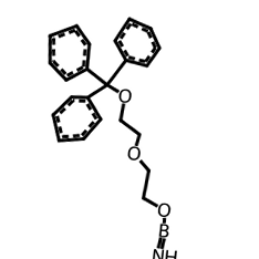 N=BOCCOCCOC(c1ccccc1)(c1ccccc1)c1ccccc1